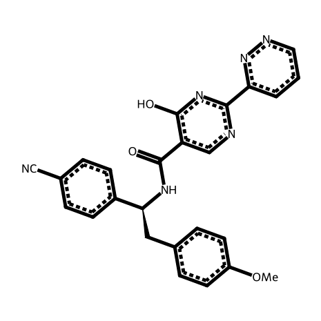 COc1ccc(C[C@H](NC(=O)c2cnc(-c3cccnn3)nc2O)c2ccc(C#N)cc2)cc1